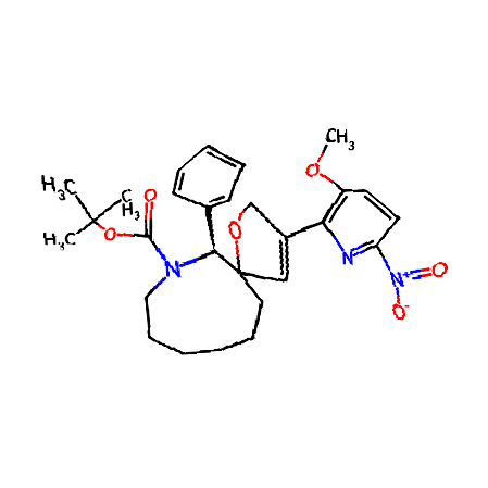 COc1ccc([N+](=O)[O-])nc1C1=CC2(CCCCCCN(C(=O)OC(C)(C)C)[C@H]2c2ccccc2)OC1